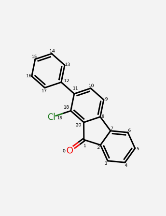 O=C1c2ccccc2-c2ccc(-c3ccccc3)c(Cl)c21